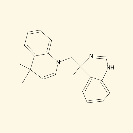 CC1(C)C=CN(CC2(C)N=CNc3ccccc32)c2ccccc21